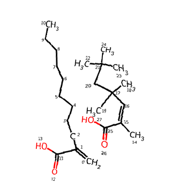 C=C(CCCCCCCCC)C(=O)O.CC(=CC(C)(C)CC(C)(C)C)C(=O)O